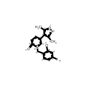 Cc1noc(C)c1-c1ccc(=O)n(Cc2ccc(F)cc2Cl)c1